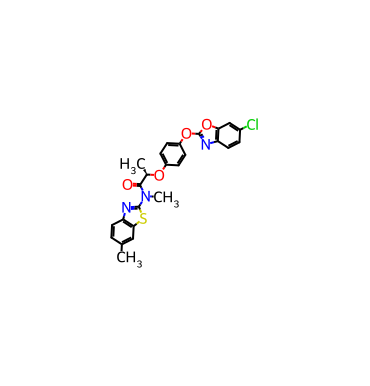 Cc1ccc2nc(N(C)C(=O)[C@@H](C)Oc3ccc(Oc4nc5ccc(Cl)cc5o4)cc3)sc2c1